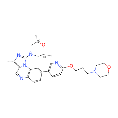 Cc1nc(N2C[C@@H](C)O[C@@H](C)C2)n2c1cnc1ccc(-c3ccc(OCCCN4CCOCC4)nc3)cc12